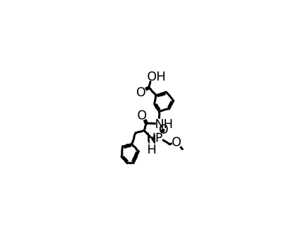 COC[PH](=O)NC(Cc1ccccc1)C(=O)Nc1cccc(C(=O)O)c1